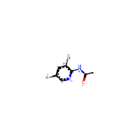 CC(=O)Nc1ncc(Br)cc1Br